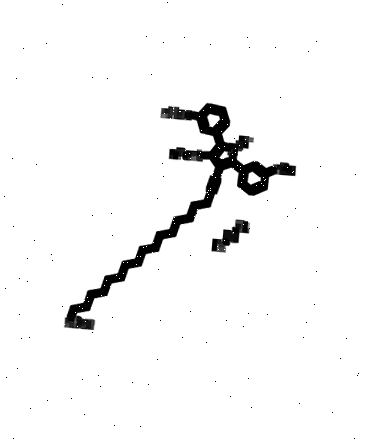 CCCCCCCCCCCCCCCCCCCCCCCCCCC#CC1=C(c2cccc(CCCC)c2)[N+](=[N-])C(c2cccc(CCCCCC)c2)=C1CCCCC.C[CH2][Pd][CH2]C